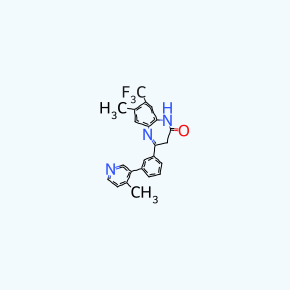 Cc1ccncc1-c1cccc(C2=Nc3cc(C)c(C(F)(F)F)cc3NC(=O)C2)c1